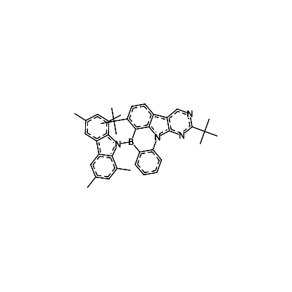 Cc1cc(C)c2c(c1)c1cc(C)cc(C)c1n2B1c2ccccc2-n2c3nc(C(C)(C)C)ncc3c3ccc(C(C)(C)C)c1c32